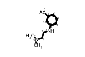 CC(=O)c1cccc(NCCN(C)C)c1